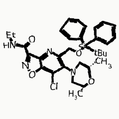 CCNC(=O)c1noc2c(Cl)c(N3C[C@@H](C)O[C@@H](C)C3)c(CO[Si](c3ccccc3)(c3ccccc3)C(C)(C)C)nc12